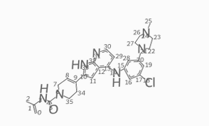 C=C(C)NC(=O)N1CC=C(c2cc3c(Nc4cc(Cl)cc(N5CCN(C)CC5)c4)ccnc3[nH]2)CC1